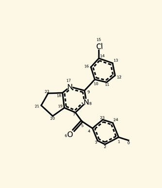 Cc1ccc(C(=O)c2nc(-c3cccc(Cl)c3)nc3c2CCC3)cc1